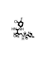 Cn1cnc(S(=O)(=O)NCc2nonc2C(=N)Nc2ccc(F)c(Cl)c2)c1